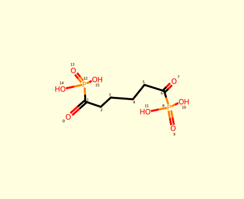 O=C(CCCCC(=O)P(=O)(O)O)P(=O)(O)O